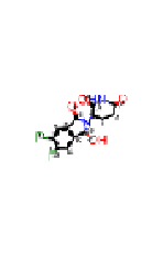 O=C1CCC(N2C(=O)c3cc(F)c(F)cc3C2O)C(=O)N1